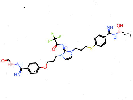 CB(O)NC(=N)c1ccc(SCCCn2ccn(CCCOc3ccc(C(=N)NBC=O)cc3)/c2=N\C(=O)C(F)(F)F)cc1